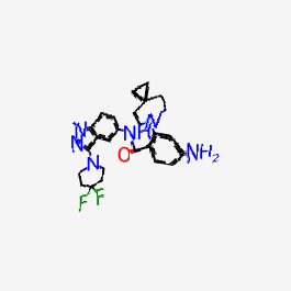 Cn1nc(N2CCC(F)(F)CC2)c2cc(NC(=O)c3ccc(N)cc3N3CCC4(CC3)CC4)ccc21